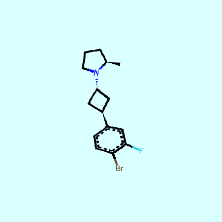 C[C@@H]1CCCN1[C@H]1C[C@H](c2ccc(Br)c(F)c2)C1